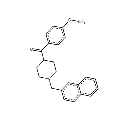 COc1ccc(C(=O)C2CCN(Cc3ccc4ccccc4c3)CC2)cc1